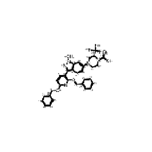 Cn1nc(-c2ccc(OCc3ccccc3)nc2OCc2ccccc2)c2ccc(N3CCN(C(=O)O)[C@H](C(F)(F)F)C3)cc21